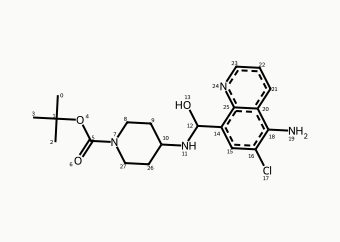 CC(C)(C)OC(=O)N1CCC(NC(O)c2cc(Cl)c(N)c3cccnc23)CC1